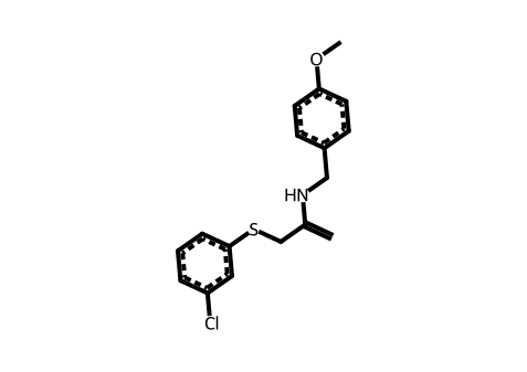 C=C(CSc1cccc(Cl)c1)NCc1ccc(OC)cc1